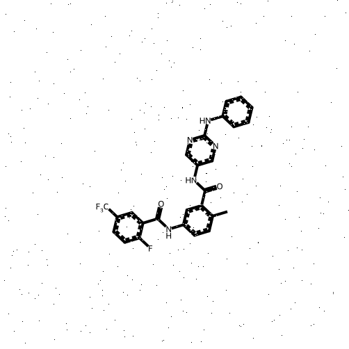 Cc1ccc(NC(=O)c2cc(C(F)(F)F)ccc2F)cc1C(=O)Nc1cnc(Nc2ccccc2)nc1